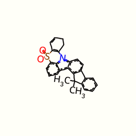 CC1(C)c2ccccc2-c2ccc3c(c21)c1cccc2c1n3C1=C(C=CCC1)S2(=O)=O